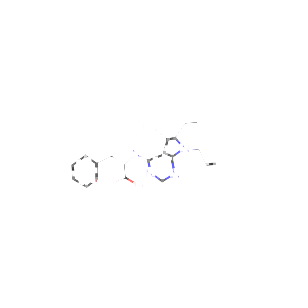 C=CCn1c(CC)c(Br)c2c(N[C@H](Cc3ccccc3)C(=O)O)ncnc21